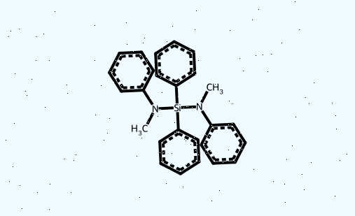 CN(c1ccccc1)[Si](c1ccccc1)(c1ccccc1)N(C)c1ccccc1